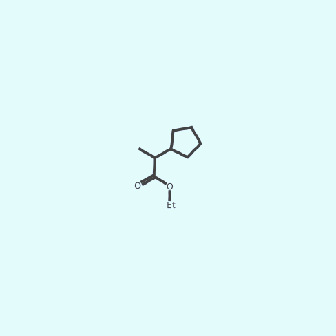 CCOC(=O)C(C)C1CCCC1